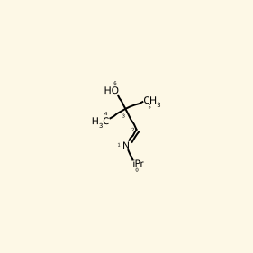 CC(C)N=CC(C)(C)O